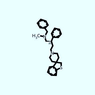 CN(Cc1ccccc1)C[C@H](CCN1CCC2(CC1)CSc1ccccc12)c1ccccc1